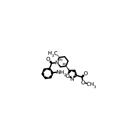 COC(=O)c1cc([C@@H]2CC[C@@H](C)N(C(=O)c3ccccc3N)C2)on1